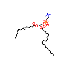 CCCC/C=C\CCCCCCCC(=O)OC[C@H](COP(=O)([O-])OCC[N+](C)(C)C)OC(=O)CCC/C=C\C/C=C\C/C=C\CCCCCCCC